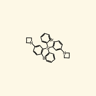 Brc1ccc(N2CCC2)cc1[Si](c1ccccc1)(c1ccccc1)c1cc(N2CCC2)ccc1Br